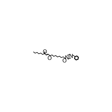 CCCCCCC(=O)/C=C/C(=O)CCCCCCCC(=O)N1CCN(Cc2ccccc2)CC1